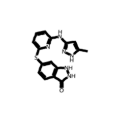 Cc1cc(Nc2cccc(Sc3ccc4c(=O)[nH][nH]c4c3)n2)n[nH]1